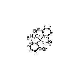 CC(C)(c1c(Br)cccc1Br)c1c(Br)cccc1Br